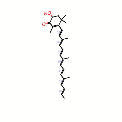 C/C=C/C=C(C)/C=C/C=C(C)/C=C/C=C(C)/C=C/C1=C(C)C(=O)C(O)CC1(C)C